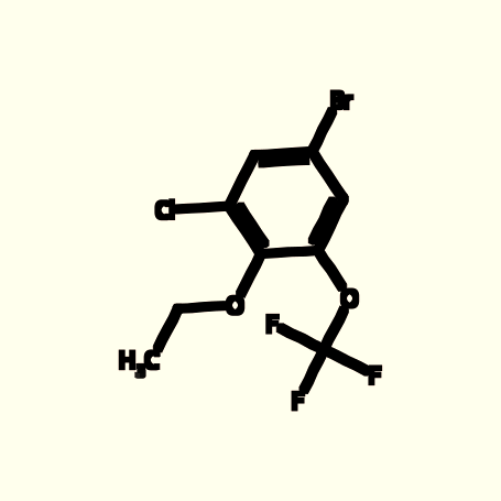 CCOc1c(Cl)cc(Br)cc1OC(F)(F)F